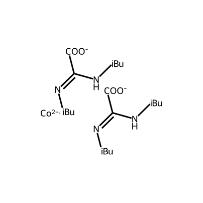 CCC(C)N=C(NC(C)CC)C(=O)[O-].CCC(C)N=C(NC(C)CC)C(=O)[O-].[Co+2]